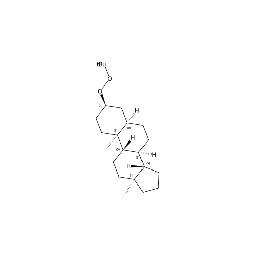 CC(C)(C)OO[C@@H]1CC[C@@]2(C)[C@H](CC[C@H]3[C@@H]4CCC[C@@]4(C)CC[C@@H]32)C1